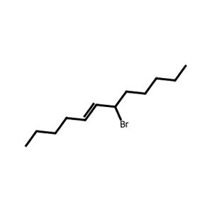 CCCCC=CC(Br)CCCCC